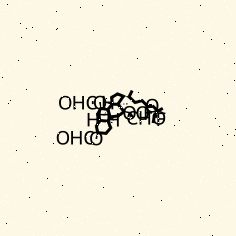 CC(CCC(=O)OC(C)C(C)(F)F)[C@H]1CC[C@H]2[C@@H]3[C@H](OC=O)C[C@@H]4C[C@H](OC=O)CC[C@]4(C)[C@H]3C[C@H](OC=O)[C@]12C